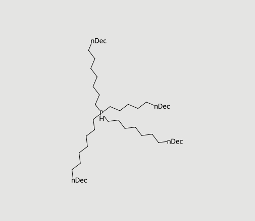 CCCCCCCCCCCCCCCCC[PH](CCCCCCCCCCCCCCC)(CCCCCCCCCCCCCCCCC)CCCCCCCCCCCCCCCCC